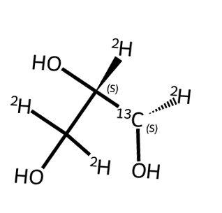 [2H][13C@H](O)[C@@]([2H])(O)C([2H])([2H])O